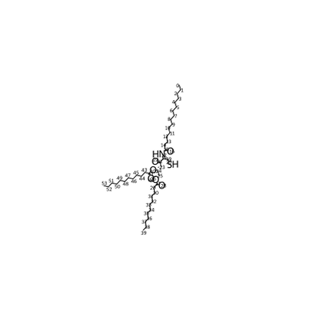 CCCCCCCCCCCCCCCC(=O)N[C@@H](CS)C(=O)[CH][C@H](COC(=O)CCCCCCCCCCC)OC(=O)CCCCCCCCCCC